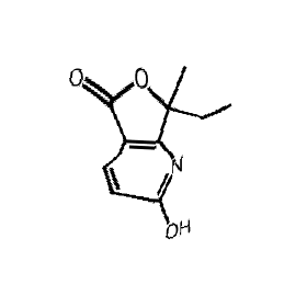 CCC1(C)OC(=O)c2ccc(O)nc21